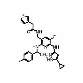 CC(Nc1nc(Nc2cc(C3CC3)[nH]n2)c(F)cc1CNC(=O)Cc1ccsc1)c1ccc(F)cc1